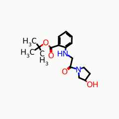 CC(C)(C)OC(=O)c1ccccc1NCC(=O)N1CCC(O)C1